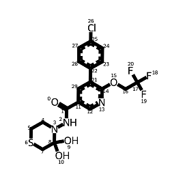 O=C(NN1CCSCC1(O)O)c1cnc(OCC(F)(F)F)c(-c2ccc(Cl)cc2)c1